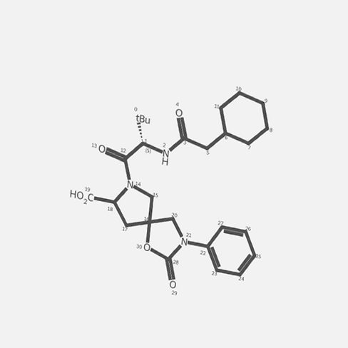 CC(C)(C)[C@H](NC(=O)CC1CCCCC1)C(=O)N1CC2(CC1C(=O)O)CN(c1ccccc1)C(=O)O2